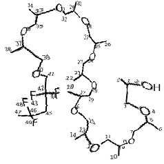 CC(O)COC(C)COC(C)COC(C)COC(C)COC(C)COC(C)COC(C)COC(C)COC(C)COCC(F)(F)CC(C)(F)F